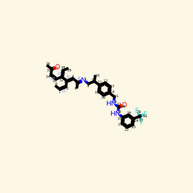 C\C=C/C(=C\C(C)=N\CC(C)c1ccc(CNC(=O)Nc2cccc(C(F)(F)F)c2)cc1)C(/C=C\C(C)=O)=C\C